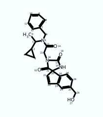 CC(C1CC1)N(Cc1ccccc1)C(=O)CN1C(=O)NC2(C=Cc3cc(CO)ccc32)C1=O